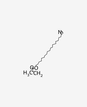 C=C(C)C(=O)OCCCCCCCCCCCCCCCCCCC1=NC=C1